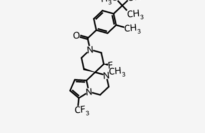 Cc1cc(C(=O)N2CC[C@@]3(c4ccc(C(F)(F)F)n4CCN3C)[C@H](F)C2)ccc1C(C)(C)O